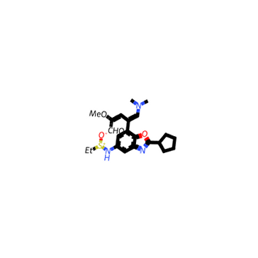 CC[S+]([O-])Nc1cc(C(/C=C(\C=O)OC)=C/N(C)C)c2oc(C3CCCC3)nc2c1